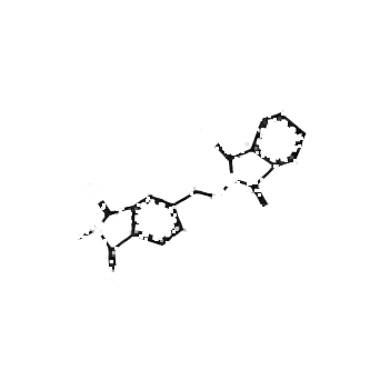 CN1C(=O)c2ccc(CON3C(=O)c4ccccc4C3=O)cc2C1=O